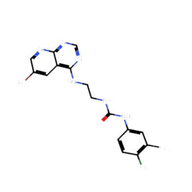 O=C(NCCNc1ncnc2ncc(Br)cc12)Nc1ccc(Cl)c(C(F)(F)F)c1